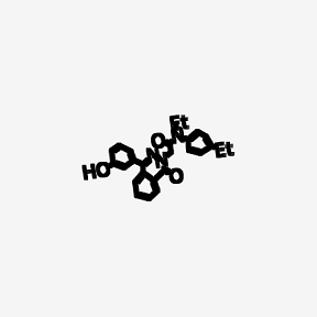 CCc1ccc(N(CC)C(=O)Cn2nc(-c3cccc(O)c3)c3ccccc3c2=O)cc1